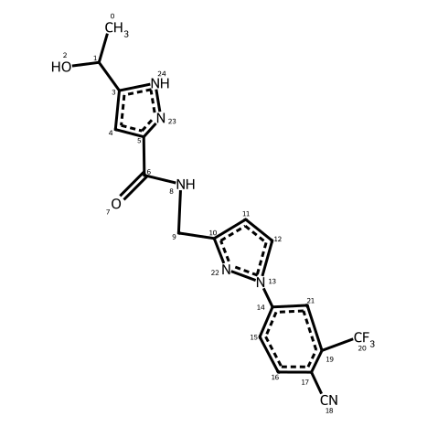 CC(O)c1cc(C(=O)NCc2ccn(-c3ccc(C#N)c(C(F)(F)F)c3)n2)n[nH]1